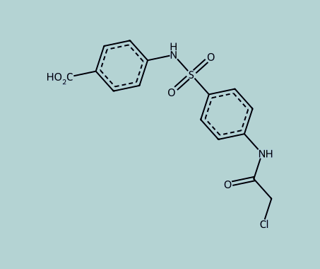 O=C(CCl)Nc1ccc(S(=O)(=O)Nc2ccc(C(=O)O)cc2)cc1